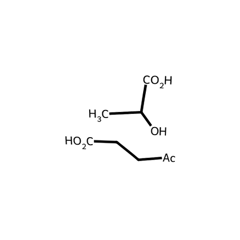 CC(=O)CCC(=O)O.CC(O)C(=O)O